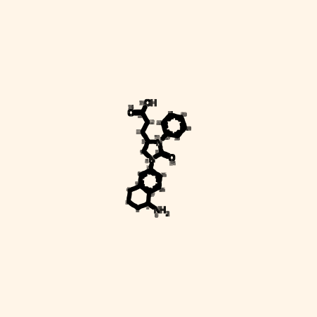 NC1CCCc2cc(N3CC(CCC(=O)O)N(c4ccccc4)C3=O)ccc21